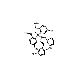 CCCCOc1ccc(C(C)(C)C)cc1C(O)(c1cc(C(C)(C)C)ccc1OCCCC)[C@@H](Cc1ccccc1)N=Cc1cc(C#N)ccc1O